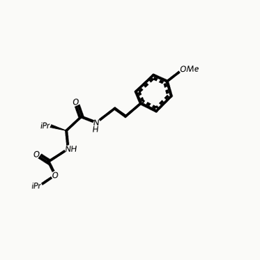 COc1ccc(CCNC(=O)[C@@H](NC(=O)OC(C)C)C(C)C)cc1